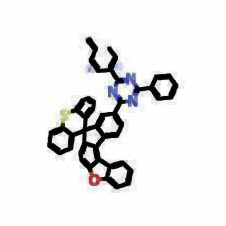 C=C/C=C\C(=C/C)c1nc(-c2ccccc2)nc(-c2ccc3c(c2)C2(c4ccccc4Sc4ccccc42)c2ccc4oc5ccccc5c4c2-3)n1